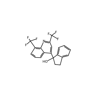 OC1(c2cc(C(F)(F)F)nc3c(C(F)(F)F)cccc23)CCc2ccccc21